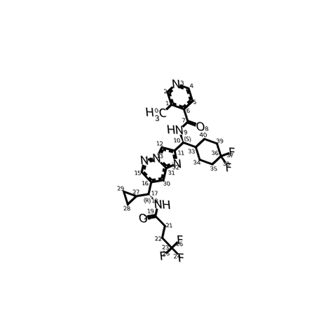 Cc1cnccc1C(=O)N[C@H](c1cn2ncc([C@H](NC(=O)CCC(F)(F)F)C3CC3)cc2n1)C1CCC(F)(F)CC1